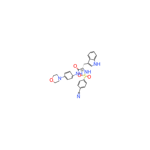 N#Cc1ccc(S(=O)(=O)N[C@@H](Cc2c[nH]c3ccccc23)C(=O)Nc2ccc(N3CCOCC3)cc2)cc1